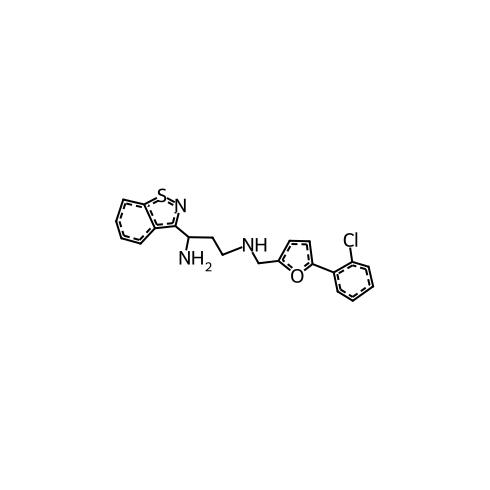 NC(CCNCc1ccc(-c2ccccc2Cl)o1)c1nsc2ccccc12